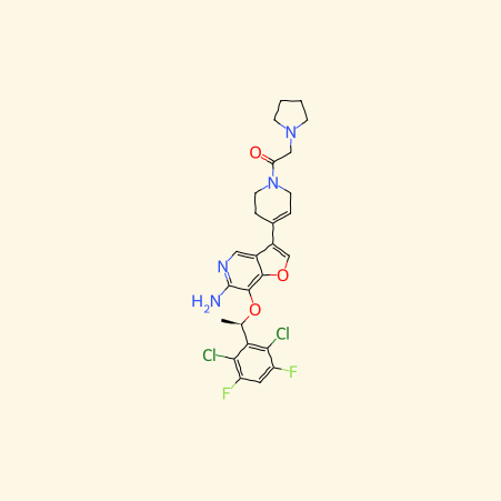 C[C@@H](Oc1c(N)ncc2c(C3=CCN(C(=O)CN4CCCC4)CC3)coc12)c1c(Cl)c(F)cc(F)c1Cl